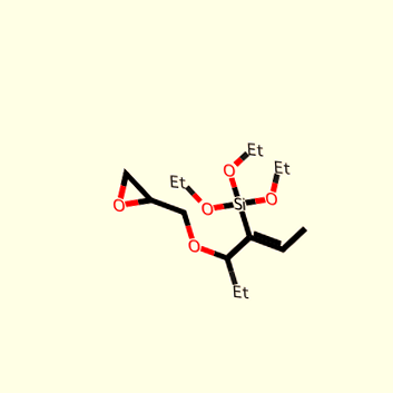 CC=C(C(CC)OCC1CO1)[Si](OCC)(OCC)OCC